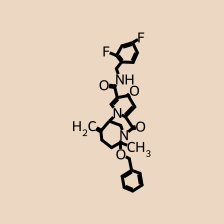 C=C1CCC(C)(OCc2ccccc2)N2CC1n1cc(C(=O)NCc3ccc(F)cc3F)c(=O)cc1C2=O